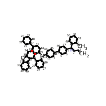 C=C/C=C(/c1ccc(-c2ccc(N(c3ccc(-c4ccccc4)cc3)c3ccccc3-c3cccc4oc5ccccc5c34)cc2)cc1)c1ccccc1C